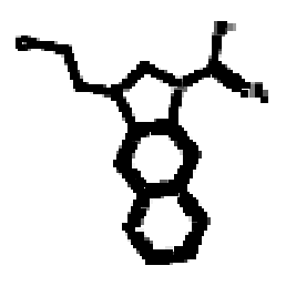 C=C(C(C)C)N1CN(CCCl)c2cc3ncccc3cc21